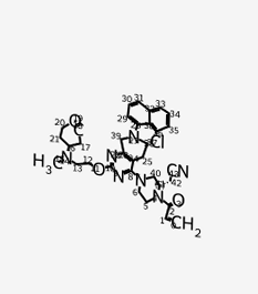 C=CC(=O)N1CCN(c2nc(OCCN(C)C3CCOCC3)nc3c2CCN(c2cccc4cccc(Cl)c24)C3)C[C@@H]1CC#N